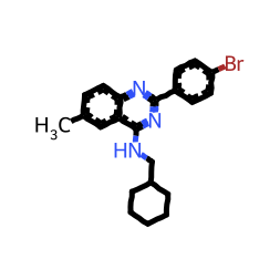 Cc1ccc2nc(-c3ccc(Br)cc3)nc(NCC3CCCCC3)c2c1